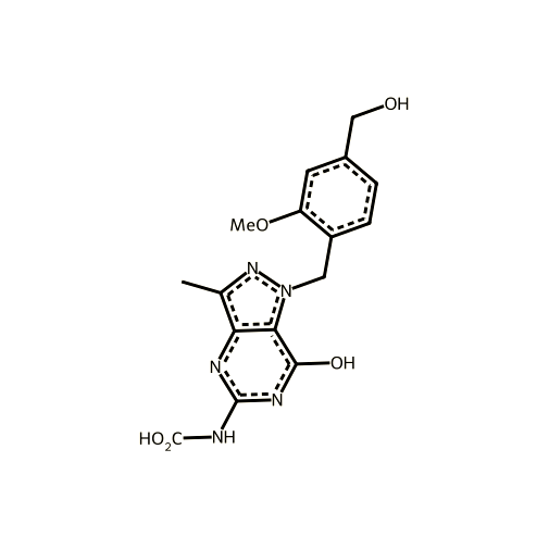 COc1cc(CO)ccc1Cn1nc(C)c2nc(NC(=O)O)nc(O)c21